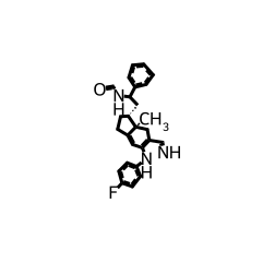 C[C@]12CC(C=N)=C(Nc3ccc(F)cc3)C=C1CC[C@@H]2CC(NC=O)c1ccccc1